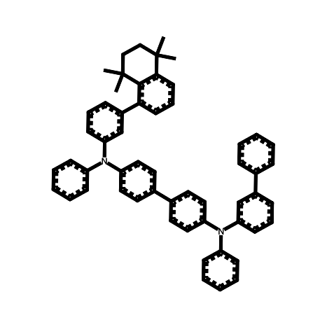 CC1(C)CCC(C)(C)c2c(-c3cccc(N(c4ccccc4)c4ccc(-c5ccc(N(c6ccccc6)c6cccc(-c7ccccc7)c6)cc5)cc4)c3)cccc21